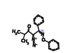 CC(C)C(=O)C(=[N+]=[N-])/C(=N\Oc1ccccc1)c1ccccc1